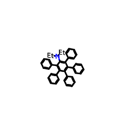 CCN(CC)c1c(-c2ccccc2)c(-c2ccccc2)c(-c2ccccc2)c(-c2ccccc2)c1-c1ccccc1